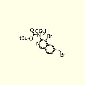 CC(C)(C)OC(=O)N(C(=O)O)c1ncc2ccc(CBr)cc2c1Br